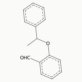 CC(Oc1ccccc1C=O)c1ccccc1